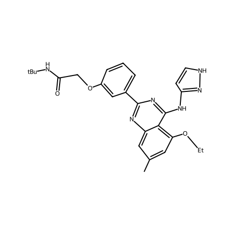 CCOc1cc(C)cc2nc(-c3cccc(OCC(=O)NC(C)(C)C)c3)nc(Nc3cc[nH]n3)c12